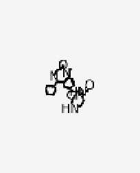 CN1C(=O)CN=C(c2ccccc2)c2cc(Cl)ccc21.O=CNN1CCNCC1